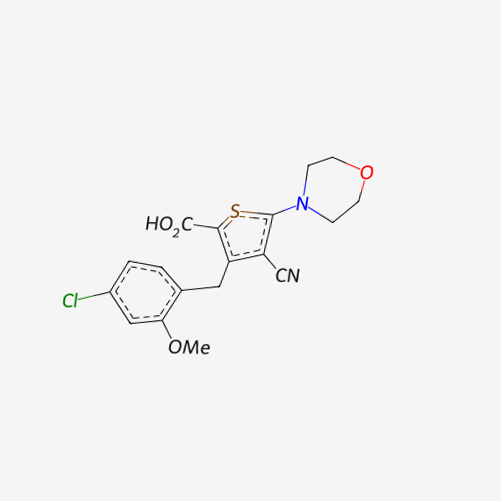 COc1cc(Cl)ccc1Cc1c(C(=O)O)sc(N2CCOCC2)c1C#N